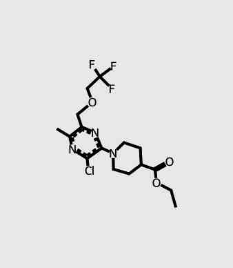 CCOC(=O)C1CCN(c2nc(COCC(F)(F)F)c(C)nc2Cl)CC1